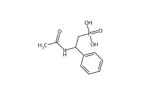 CC(=O)NC(CP(=O)(O)O)c1ccccc1